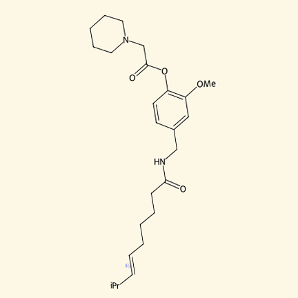 COc1cc(CNC(=O)CCCC/C=C/C(C)C)ccc1OC(=O)CN1CCCCC1